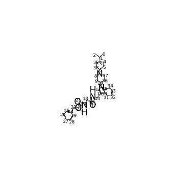 CC(C)[C@H]1CC[C@@H](N2CCC(n3cc(CNC(=O)CNC(=O)OCc4ccccc4)c4ccccc43)CC2)CC1